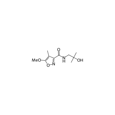 COc1onc(C(=O)NCC(C)(C)O)c1C